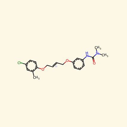 Cc1cc(Cl)ccc1OC/C=C/COc1cccc(NC(=O)N(C)C)c1